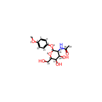 COc1ccc(OC2OC(CO)C(O)C(O)C2NC(C)=O)cc1